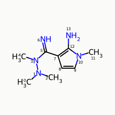 CN(C)N(C)C(=N)c1ccn(C)c1N